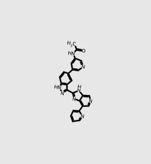 CC(=O)Nc1cncc(-c2ccc3[nH]nc(-c4nc5c(-c6ccccn6)cncc5[nH]4)c3c2)c1